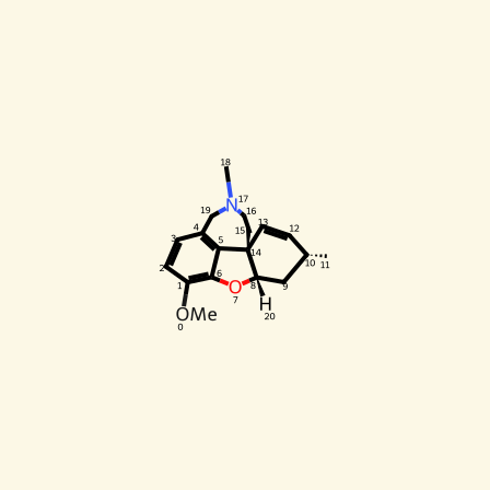 COc1ccc2c3c1O[C@H]1C[C@@H](C)C=C[C@@]31CCN(C)C2